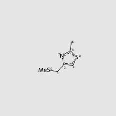 CSCc1csc(C)n1